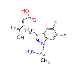 Cc1nn(C[C@H](C)N)c2cc(F)c(F)cc12.O=C(O)C=CC(=O)O